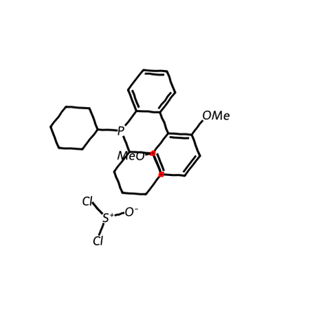 COc1cccc(OC)c1-c1ccccc1P(C1CCCCC1)C1CCCCC1.[O-][S+](Cl)Cl